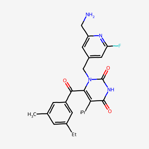 CCc1cc(C)cc(C(=O)c2c(C(C)C)c(=O)[nH]c(=O)n2Cc2cc(F)nc(CN)c2)c1